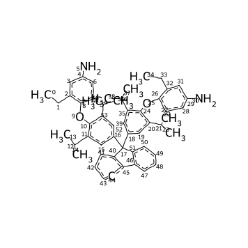 CCc1cc(N)ccc1Oc1c(C(C)C)cc(C2(c3cc(C(C)C)c(Oc4ccc(N)cc4CC)c(C(C)C)c3)c3ccccc3-c3ccccc32)cc1C(C)C